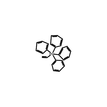 C=C[SH](c1ccccc1)(c1ccccc1)(c1ccccc1)c1ccccc1